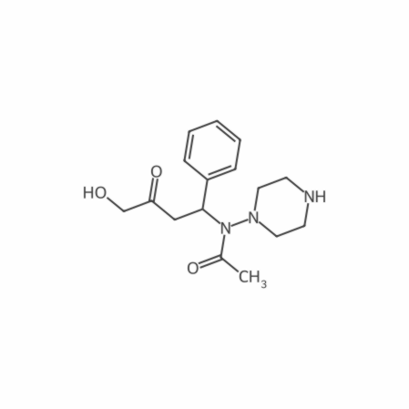 CC(=O)N(C(CC(=O)CO)c1ccccc1)N1CCNCC1